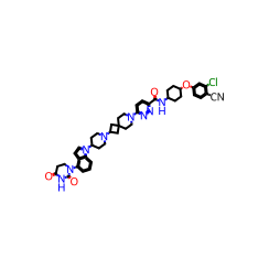 N#Cc1ccc(OC2CCC(NC(=O)c3ccc(N4CCC5(CC4)CC(N4CCC(n6ccc7c(N8CCC(=O)NC8=O)cccc76)CC4)C5)nn3)CC2)cc1Cl